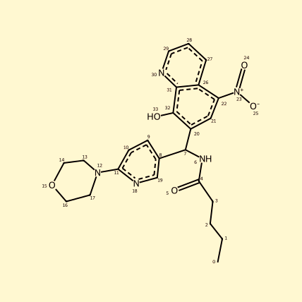 CCCCC(=O)NC(c1ccc(N2CCOCC2)nc1)c1cc([N+](=O)[O-])c2cccnc2c1O